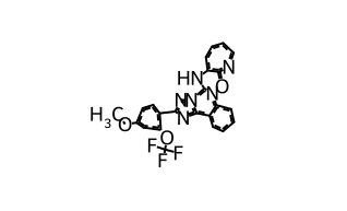 COc1ccc(-c2nc3c4ccccc4nc(Nc4ccccnc4=O)n3n2)c(OC(F)(F)F)c1